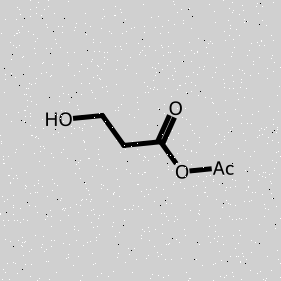 CC(=O)OC(=O)CCO